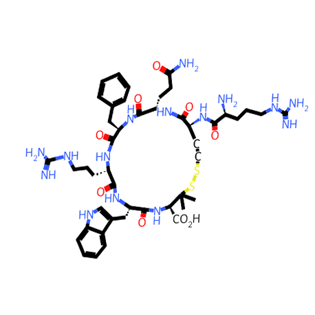 CC1(C)SSCC[C@H](NC(=O)[C@@H](N)CCCNC(=N)N)C(=O)N[C@@H](CCC(N)=O)C(=O)N[C@H](Cc2ccccc2)C(=O)N[C@@H](CCCNC(=N)N)C(=O)N[C@@H](Cc2c[nH]c3ccccc23)C(=O)N[C@@H]1C(=O)O